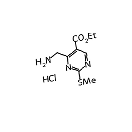 CCOC(=O)c1cnc(SC)nc1CN.Cl